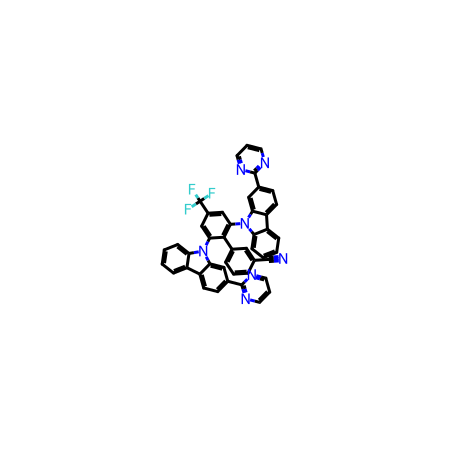 N#Cc1cccc(-c2c(-n3c4ccccc4c4ccc(-c5ncccn5)cc43)cc(C(F)(F)F)cc2-n2c3ccccc3c3ccc(-c4ncccn4)cc32)c1